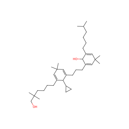 CC(C)CCCCC1=CC(C)(C)C=C(CCCC2=CC(C)(C)C=C(CCCCC(C)(C)CO)C2C2CC2)C1O